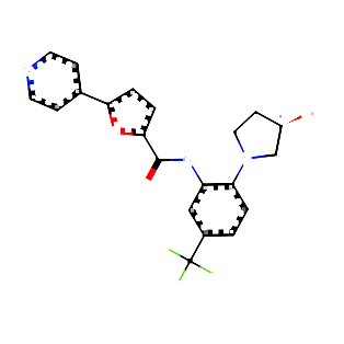 O=C(Nc1cc(C(F)(F)F)ccc1N1CC[C@@H](O)C1)c1ccc(-c2ccncc2)o1